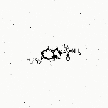 COc1ccc2cc(S(N)(=O)=O)oc2c1